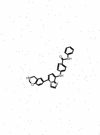 O=C(Nc1ccccc1)c1ccc(Nc2ccc(-c3ccc4c(c3)CNCO4)n3ccnc23)cc1